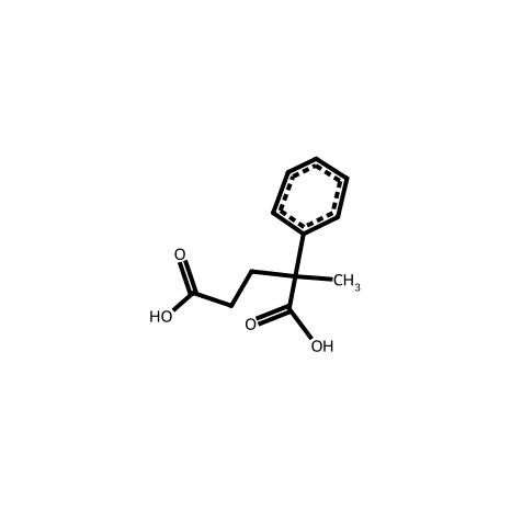 CC(CCC(=O)O)(C(=O)O)c1ccccc1